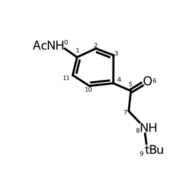 CC(=O)Nc1ccc(C(=O)CNC(C)(C)C)cc1